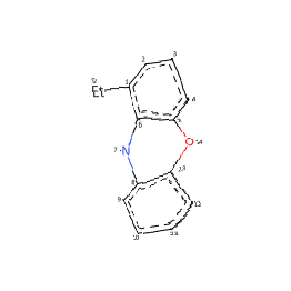 CCc1cccc2c1[N]c1ccccc1O2